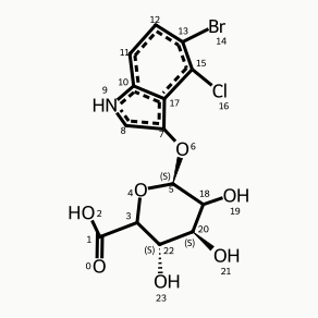 O=C(O)C1O[C@@H](Oc2c[nH]c3ccc(Br)c(Cl)c23)C(O)[C@@H](O)[C@@H]1O